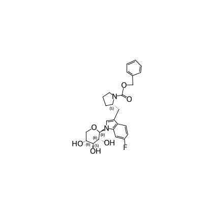 O=C(OCc1ccccc1)N1CCC[C@H]1Cc1cn([C@@H]2OC[C@@H](O)[C@H](O)[C@H]2O)c2cc(F)ccc12